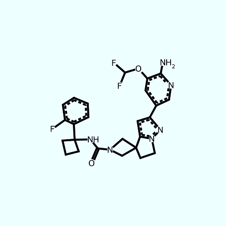 Nc1ncc(-c2cc3n(n2)CCC32CN(C(=O)NC3(c4ccccc4F)CCC3)C2)cc1OC(F)F